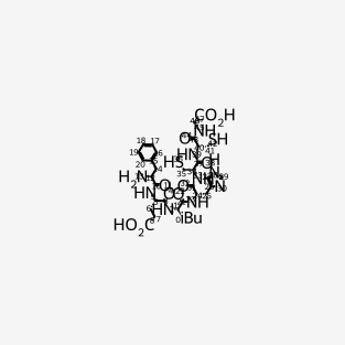 CC[C@H](C)[C@H](NC(=O)[C@H](CCC(=O)O)NC(=O)[C@@H](N)Cc1ccccc1)C(=O)N[C@@H](Cc1c[nH]cn1)C(=O)N[C@@H](CS)C(=O)N[C@@H](CS)C(=O)NCC(=O)O